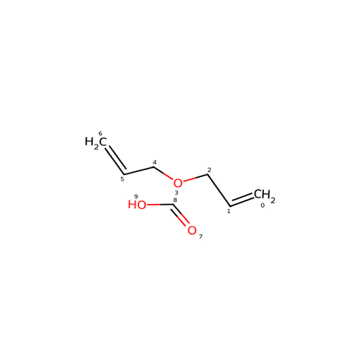 C=CCOCC=C.O=CO